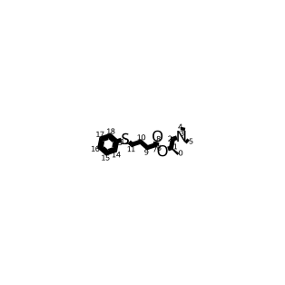 C[C@H](CN(C)C)OC(=O)CCCSc1ccccc1